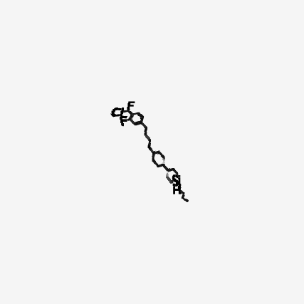 CCCCC[Si@H]1CC[C@H]([C@H]2CC[C@H](CCCCc3ccc(C(F)Cl)c(F)c3)CC2)CC1